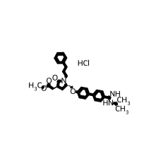 COC(=O)C[C@@H]1C[C@@H](COc2ccc(-c3ccc(C(=N)NC(C)C)cc3)cc2)N(CCCc2ccccc2)C1=O.Cl